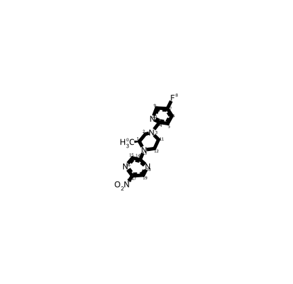 C[C@H]1CN(c2ccc(F)cn2)CCN1c1cnc([N+](=O)[O-])cn1